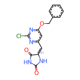 O=C1NC(=O)/C(=C\c2cc(OCc3ccccc3)nc(Cl)n2)N1